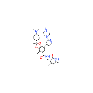 Cc1cc(C)c(CNC(=O)c2cc(-c3ccnc(N4CCN(C)CC4)c3)c3c(c2C)OC(C)([C@H]2CC[C@H](N(C)C)CC2)O3)c(=O)[nH]1